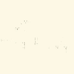 COc1ccc([C@H](CC(=O)O)NCCNCCCc2ccc3c(n2)NCCC3)cn1